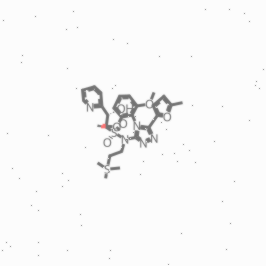 COc1cccc(OC)c1-n1c(-c2ccc(C)o2)nnc1N(CCS(C)(C)C)S(=O)(=O)[C@@H](C)[C@@H](O)c1ccccn1